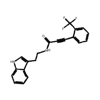 O=C(C#Cc1ccccc1C(F)(F)F)NCCc1c[nH]c2ccccc12